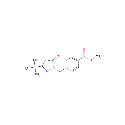 COC(=O)c1ccc(CN2N=C(C(C)(C)C)CC2=O)cc1